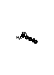 Cc1cc(C)cc(-c2ccc(-c3ccc(-c4cc5ccccc5o4)cc3)cc2)c1